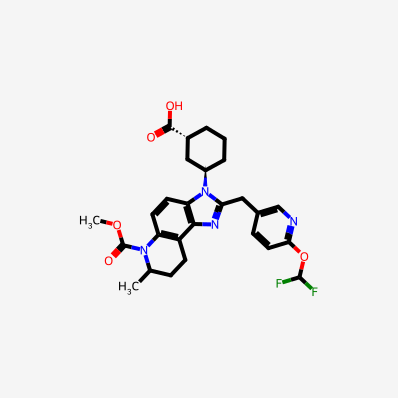 COC(=O)N1c2ccc3c(nc(Cc4ccc(OC(F)F)nc4)n3[C@@H]3CCC[C@@H](C(=O)O)C3)c2CCC1C